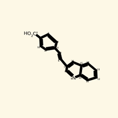 O=C(O)c1ccc(C=Cc2cnc3ccccc3c2)cc1